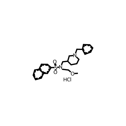 COCCN(CC1CCCN(Cc2ccccc2)C1)S(=O)(=O)c1ccc2ccccc2c1.Cl